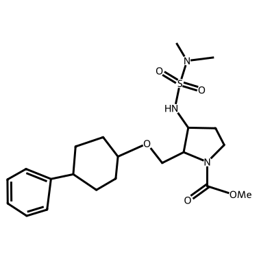 COC(=O)N1CCC(NS(=O)(=O)N(C)C)C1COC1CCC(c2ccccc2)CC1